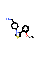 COc1ccccc1C1=CSCN1C1CCC(CN)CC1